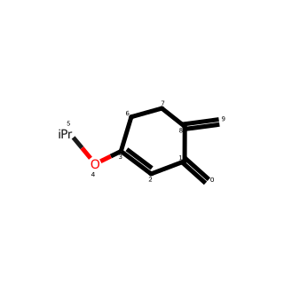 C=C1C=C(OC(C)C)CCC1=C